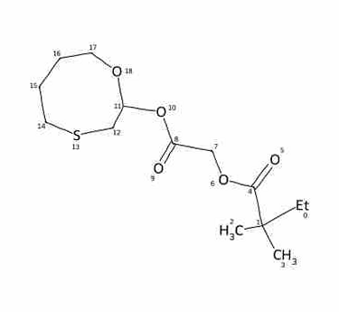 CCC(C)(C)C(=O)OCC(=O)OC1CSCCCCO1